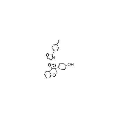 O=C1c2ccccc2OCC1(OCc1coc(-c2ccc(F)cc2)n1)c1ccc(O)cc1